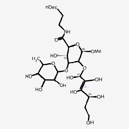 CCCCCCCCCCCCNC(=O)C1O[C@@H](OC)C(O[C@H](O)/C(O)=C(\O)[C@@H](O)CCO)C(OC2OC(C)C(O)C(O)C2O)[C@@H]1O